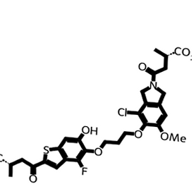 COc1cc2c(c(Cl)c1OCCCOc1c(O)cc3sc(C(=O)C[C@H](C)C(=O)O)cc3c1F)CN(C(=O)C[C@H](C)C(=O)O)C2